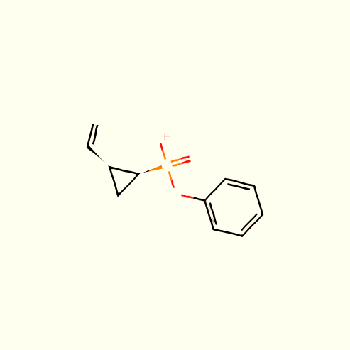 C=C[C@@H]1C[C@@H]1P(=O)(O)Oc1ccccc1